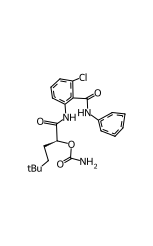 CC(C)(C)CC[C@H](OC(N)=O)C(=O)Nc1cccc(Cl)c1C(=O)Nc1ccccc1